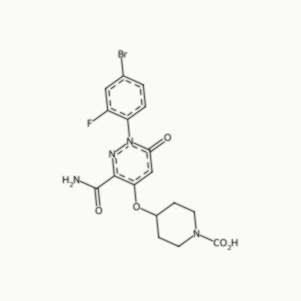 NC(=O)c1nn(-c2ccc(Br)cc2F)c(=O)cc1OC1CCN(C(=O)O)CC1